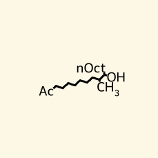 CCCCCCCCC(O)C(C)CCCCCCCC(C)=O